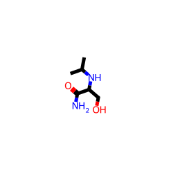 CC(C)NC(CO)C(N)=O